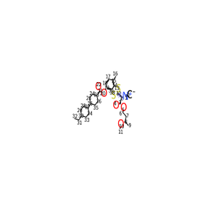 [C-]#[N+]/C(C(=O)OCCC(C)OC)=C1\Sc2c(C)ccc(OC(=O)C3CCC(C4CCC(CC)CC4)CC3)c2S1